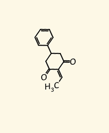 CC=C1C(=O)CC(c2ccccc2)CC1=O